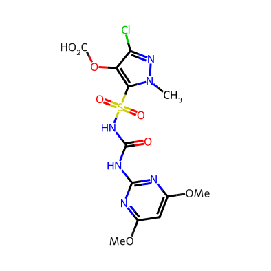 COc1cc(OC)nc(NC(=O)NS(=O)(=O)c2c(OC(=O)O)c(Cl)nn2C)n1